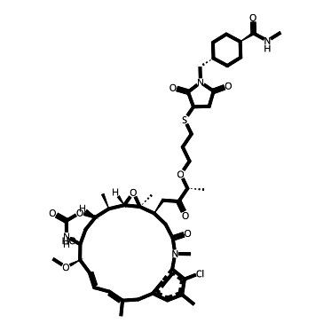 CNC(=O)[C@H]1CC[C@H](CN2C(=O)CC(SCCCO[C@H](C)C(=O)C[C@H]3CC(=O)N(C)c4cc(cc(C)c4Cl)C/C(C)=C/C=C/[C@@H](OC)[C@@]4(O)C[C@H](OC(=O)N4)[C@@H](C)[C@@H]4O[C@@]34C)C2=O)CC1